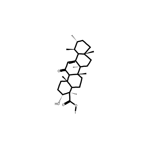 C[C@@H]1CC[C@]2(C)CC[C@]3(C)C(=CC(=O)C4[C@@]5(C)CC[C@@H](O)[C@](C)(C(=O)OI)C5CC[C@]43C)C2[C@H]1C